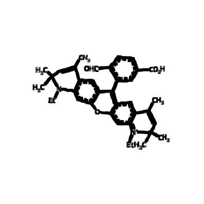 CCN1c2cc3c(cc2C(C)=CC1(C)C)C(c1cc(C(=O)O)ccc1C=O)=c1cc2c(cc1O3)=[N+](CC)C(C)(C)C=C2C